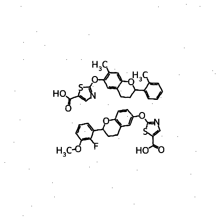 COc1cccc(C2CCc3cc(Oc4ncc(C(=O)O)s4)ccc3O2)c1F.Cc1cc2c(cc1Oc1ncc(C(=O)O)s1)CCC(c1ccccc1C)O2